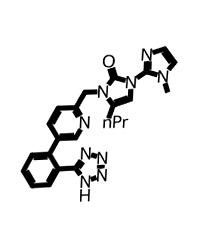 CCCc1cn(-c2nccn2C)c(=O)n1Cc1ccc(-c2ccccc2-c2nnn[nH]2)cn1